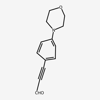 O=CC#Cc1ccc(N2CCOCC2)cc1